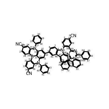 N#Cc1ccc(-n2c3ccc(-c4cc5c6c(c4)N(c4ccccc4)c4cc(C#N)ccc4B6c4ccc(C#N)cc4N5c4ccccc4)cc3c3ccc(-c4ccccc4)cc32)c(-c2nc(-c3ccccc3)nc(-c3ccccc3)n2)c1